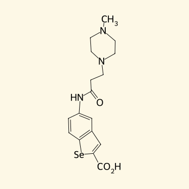 CN1CCN(CCC(=O)Nc2ccc3[se]c(C(=O)O)cc3c2)CC1